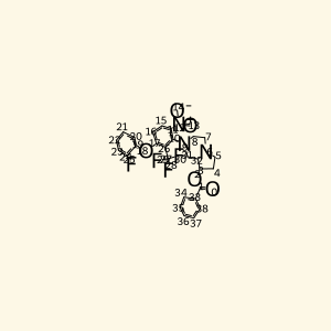 O=C(OC1CCN2CCN(c3c([N+](=O)[O-])ccc(Oc4ccccc4F)c3C(F)(F)F)CC12)c1ccccc1